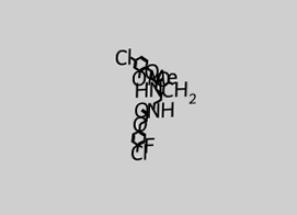 C=C(CCNC(=O)COc1ccc(Cl)c(F)c1)NC(=O)COc1ccc(Cl)cc1OC